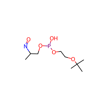 CC(COP(O)OCCOC(C)(C)C)N=O